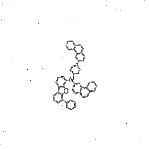 c1ccc(-c2cccc3c2oc2c(N(c4ccc(-c5ccc6ccc7ccccc7c6c5)cc4)c4ccc5ccc6ccccc6c5c4)cccc23)cc1